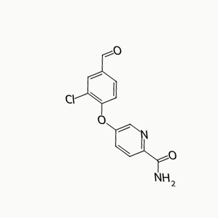 NC(=O)c1ccc(Oc2ccc(C=O)cc2Cl)cn1